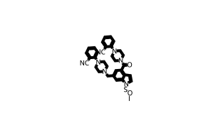 N#Cc1ccccc1N1CCN(Cc2cc(C(=O)N3CCN(c4ccccc4C#N)CC3)c3ccn(SOI)c3c2)CC1